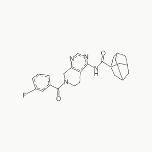 O=C(c1cccc(F)c1)N1CCc2c(ncnc2NC(=O)C23CC4CC(CC(C4)C2)C3)C1